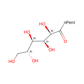 CCCCCC(=O)[C@H](O)[C@@H](O)[C@H](O)[C@H](O)CO